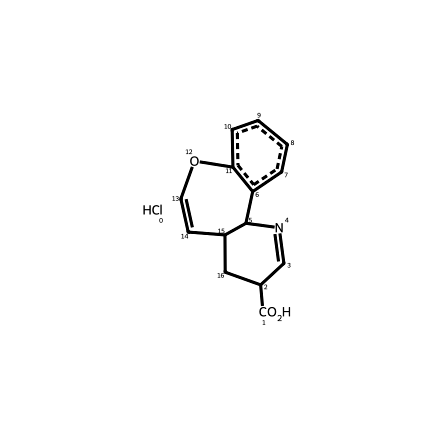 Cl.O=C(O)C1C=NC2c3ccccc3OC=CC2C1